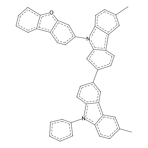 Cc1ccc2c(c1)c1cc(-c3ccc4c5cc(C)ccc5n(-c5ccc6c(c5)oc5ccccc56)c4c3)ccc1n2-c1ccccc1